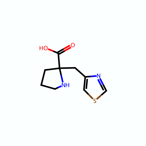 O=C(O)C1(Cc2cscn2)CCCN1